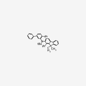 CC(C)c1ccc(-c2ccccc2)cc1N(c1ccc2c(c1C(C)C)C(C)(C)c1ccccc1-2)C(C)(C)C